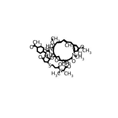 COc1cc2cc(c1Cl)N(C)C(=O)C[C@H](OC(=O)[C@H](C)N(C)C(=O)CCSC1CC(=O)N(CC3CCC(C(C)=O)CC3)C1=O)C1(C)CC(C)(O1)C1CC(O)(NC(=O)O1)C(OC)/C=C/C=C(\C)C2